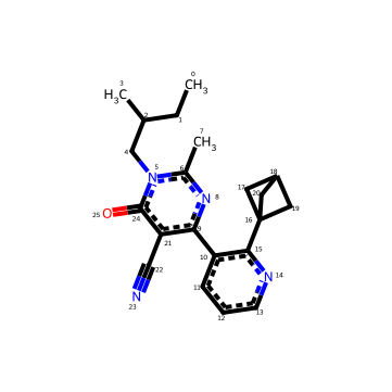 CCC(C)Cn1c(C)nc(-c2cccnc2C23CC(C2)C3)c(C#N)c1=O